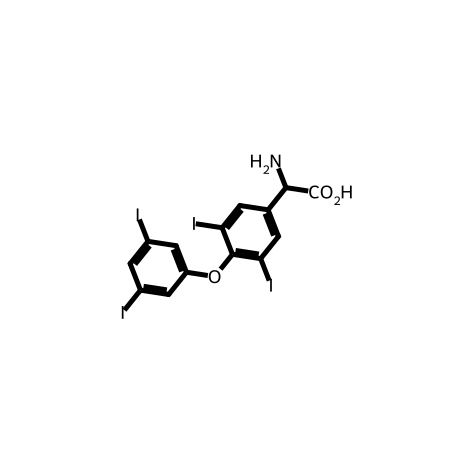 NC(C(=O)O)c1cc(I)c(Oc2cc(I)cc(I)c2)c(I)c1